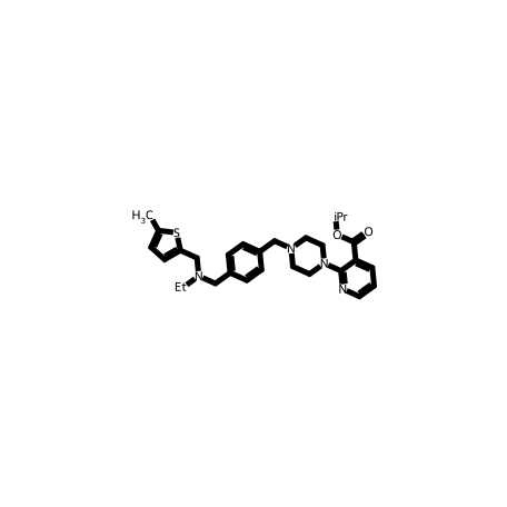 CCN(Cc1ccc(CN2CCN(c3ncccc3C(=O)OC(C)C)CC2)cc1)Cc1ccc(C)s1